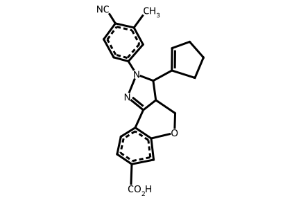 Cc1cc(N2N=C3c4ccc(C(=O)O)cc4OCC3C2C2=CCCC2)ccc1C#N